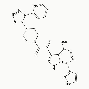 COc1cnc(-c2cc[nH]n2)c2[nH]cc(C(=O)C(=O)N3CCN(c4nnnn4-c4ccccn4)CC3)c12